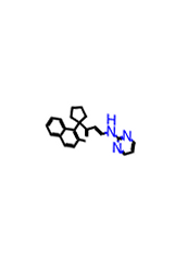 C=C(C=CNc1ncccn1)C1(c2c(C)ccc3ccccc23)CCCC1